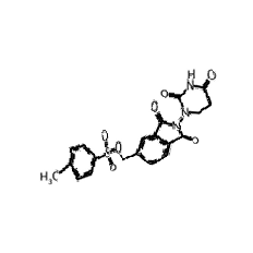 Cc1ccc(S(=O)(=O)OCc2ccc3c(c2)C(=O)N(N2CCC(=O)NC2=O)C3=O)cc1